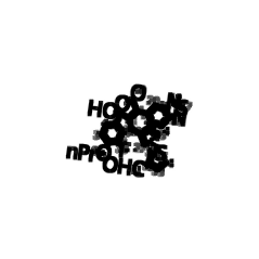 CCCOc1ccc(C2(O)OC(=O)C(c3ccc4nsnc4c3)=C2Cc2ccsc2)cc1F.O=Cc1ccsc1